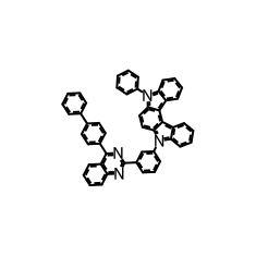 c1ccc(-c2ccc(-c3nc(-c4cccc(-n5c6ccccc6c6c7c8ccccc8n(-c8ccccc8)c7ccc65)c4)nc4ccccc34)cc2)cc1